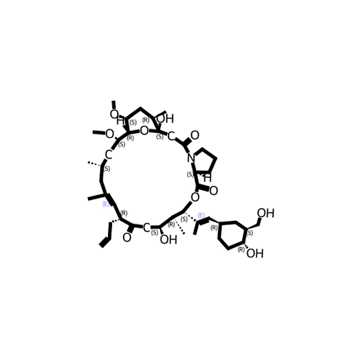 C=CC[C@@H]1/C=C(\C)C[C@H](C)C[C@H](OC)[C@H]2O[C@@](O)(CC(=O)N3CCC[C@H]3C(=O)O[C@H](/C(C)=C/[C@@H]3CC[C@@H](O)[C@H](CO)C3)[C@H](C)[C@@H](O)CC1=O)[C@H](C)C[C@@H]2OC